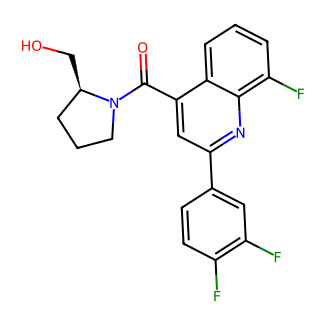 O=C(c1cc(-c2ccc(F)c(F)c2)nc2c(F)cccc12)N1CCC[C@H]1CO